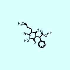 C=CCCC(CC(C)C)C(=O)N(C(=O)NO)C(C(=O)OC(C)C)c1ccccc1